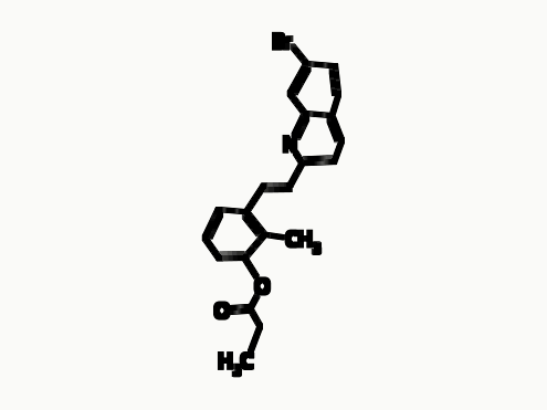 CCC(=O)Oc1cccc(C=Cc2ccc3ccc(Br)cc3n2)c1C